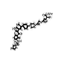 COC(=O)C(c1cc(N2CC(N3CCN(c4ccc(-c5cnc6[nH]cc(C(=O)c7c(F)ccc(NS(=O)(=O)N8CC[C@@H](F)C8)c7F)c6c5)cc4)CC3)C2)no1)C(C)C